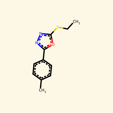 CCSc1nnc(-c2ccc(C)cc2)o1